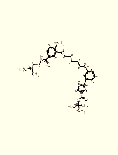 CN(C)CCNC(=O)c1ccc(N)c(OCCCCCNc2cc(-c3nc(C(=O)OC(C)(C)C)cs3)ccn2)c1